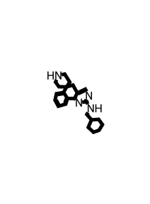 c1ccc2c(c1)-c1nc(NCC3CCCCC3)ncc1CC21CCNCC1